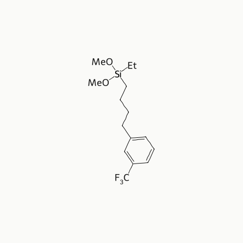 CC[Si](CCCCc1cccc(C(F)(F)F)c1)(OC)OC